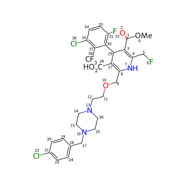 COC(=O)C1=C(CF)NC(COCCN2CCN(Cc3ccc(Cl)cc3)CC2)=C(C(=O)O)C1c1c(F)ccc(Cl)c1C(F)(F)F